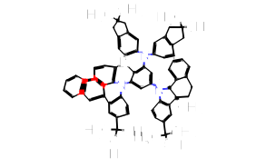 CC1(C)Cc2ccc(N3c4cc5c(cc4B4c6ccc(-c7ccccc7)cc6N(c6ccc(C(C)(C)C)cc6-c6ccccc6)c6cc(N7c8ccc(C(C)(C)C)cc8C8(C)CCc9ccccc9C78C)cc3c64)CC(C)(C)C5)cc2C1